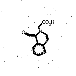 O=C=C1c2ccccc2C=CN1CC(=O)O